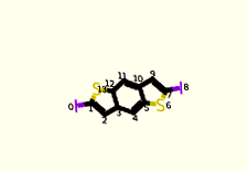 IC1=CC2C=c3sc(I)cc3=CC2S1